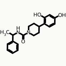 CC(NC(=O)N1CCC(c2ccc(O)cc2O)CC1)c1ccccc1